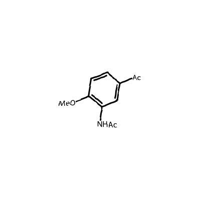 COc1ccc(C(C)=O)cc1NC(C)=O